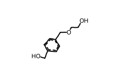 OCCOCc1ccc(CO)cc1